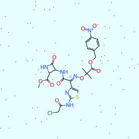 COC(=O)C1NC(=O)C1NC(=O)/C(=N/OC(C)(C)C(=O)OCc1ccc([N+](=O)[O-])cc1)c1csc(NC(=O)CCl)n1